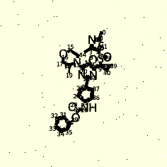 Cc1nc(C)c(S(=O)(=O)C2(c3cc(N4CCOC[C@@H]4C)nc(-c4ccc(NC(=O)Oc5ccccc5)cc4)n3)CC2)s1